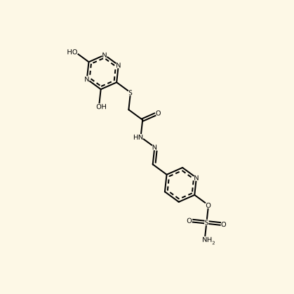 NS(=O)(=O)Oc1ccc(/C=N/NC(=O)CSc2nnc(O)nc2O)cn1